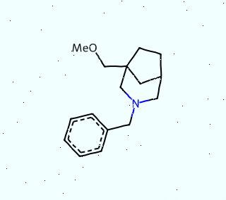 COCC12CCC(CN(Cc3ccccc3)C1)C2